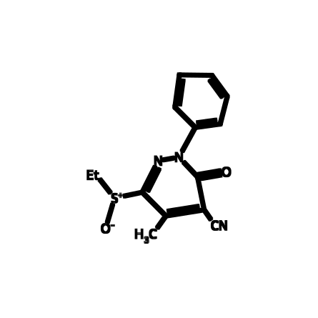 CC[S+]([O-])c1nn(-c2ccccc2)c(=O)c(C#N)c1C